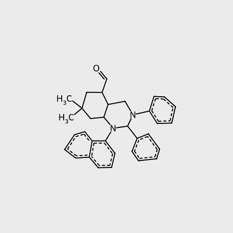 CC1(C)CC(C=O)C2CN(c3ccccc3)C(c3ccccc3)N(c3cccc4ccccc34)C2C1